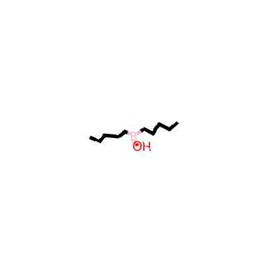 CCCCCB(O)CCCCC